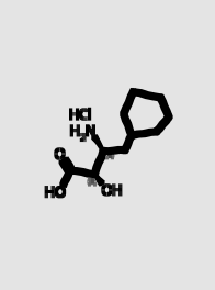 Cl.N[C@@H](CC1CCCCC1)[C@@H](O)C(=O)O